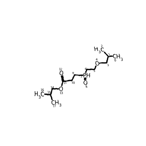 CC(C)COCC[PH](=O)CCC(=O)OCC(C)C